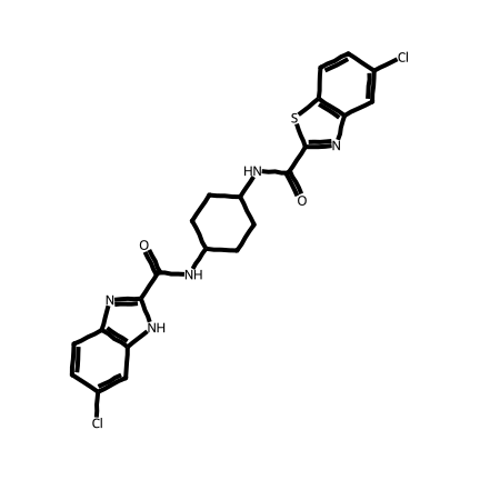 O=C(NC1CCC(NC(=O)c2nc3cc(Cl)ccc3s2)CC1)c1nc2ccc(Cl)cc2[nH]1